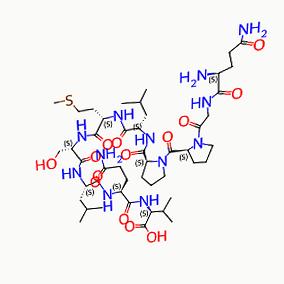 CSCC[C@H](NC(=O)[C@H](CC(C)C)NC(=O)[C@@H]1CCCN1C(=O)[C@@H]1CCCN1C(=O)CNC(=O)[C@@H](N)CCC(N)=O)C(=O)N[C@@H](CO)C(=O)N[C@@H](CC(C)C)C(=O)N[C@@H](CCC(N)=O)C(=O)N[C@H](C(=O)O)C(C)C